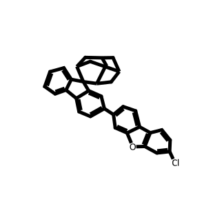 Clc1ccc2c(c1)oc1cc(-c3ccc4c(c3)C3(c5ccccc5-4)C4CC5CC(C4)CC3C5)ccc12